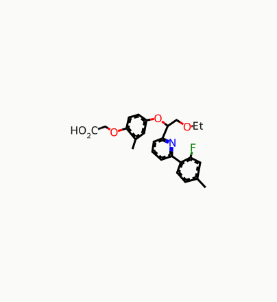 CCOCC(Oc1ccc(OCC(=O)O)c(C)c1)c1cccc(-c2ccc(C)cc2F)n1